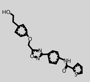 O=C(Nc1ccc(-c2noc(COc3ccc(CCO)cc3)n2)cc1)c1cccs1